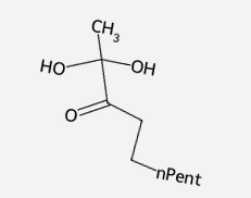 CCCCCCCC(=O)C(C)(O)O